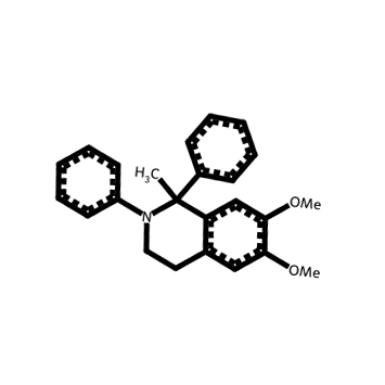 COc1cc2c(cc1OC)C(C)(c1ccccc1)N(c1ccccc1)CC2